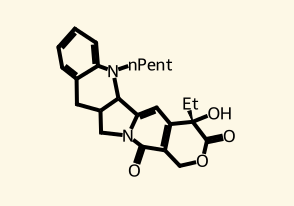 CCCCCN1c2ccccc2CC2Cn3c(cc4c(c3=O)COC(=O)[C@]4(O)CC)C21